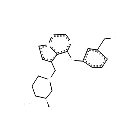 N#CCc1cccc(Nc2ncnn3ccc(CN4CC[C@@H](N)[C@H](O)C4)c23)c1